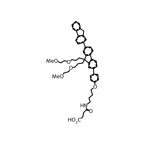 COCCOCCCC1(CCCOCCOC)c2cc(-c3ccc(OCCCCNC(=O)CCC(=O)O)cc3)ccc2-c2ccc(-c3ccc4c(c3)Cc3ccccc3-4)cc21